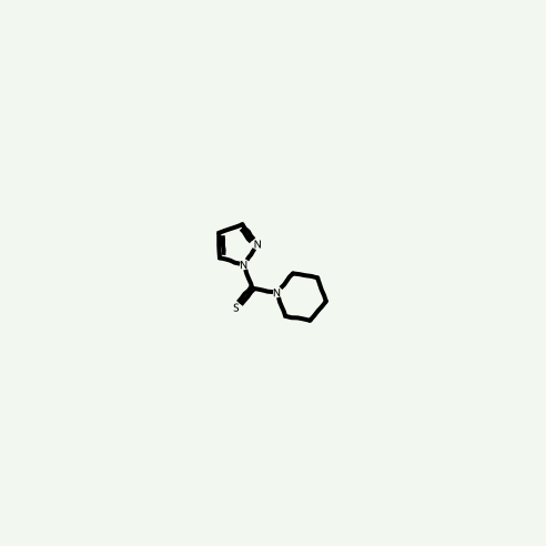 S=C(N1CCCCC1)n1cccn1